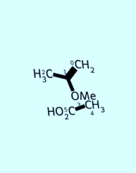 C=C(C)OC.CC(=O)O